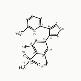 Cc1cccc(-c2cscc2-c2cc(F)c(S(C)(=O)=O)c(F)c2)n1